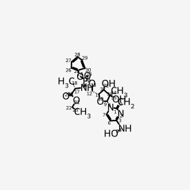 C=C1N=C(NO)C=CN1[C@@H]1O[C@H](COP(=O)(N[C@@H](C)C(=O)OCC)Oc2ccccc2)C(O)[C@@]1(C)O